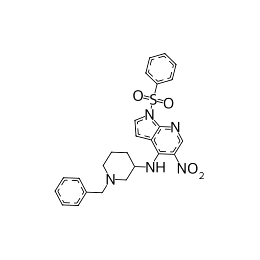 O=[N+]([O-])c1cnc2c(ccn2S(=O)(=O)c2ccccc2)c1NC1CCCN(Cc2ccccc2)C1